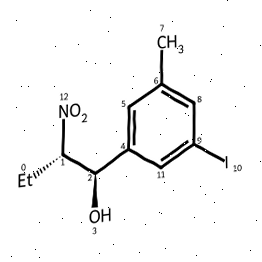 CC[C@@H]([C@H](O)c1cc(C)cc(I)c1)[N+](=O)[O-]